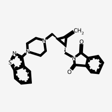 C=C1[C@H](CN2CCN(c3nsc4ccccc34)CC2)[C@H]1CN1C(=O)c2ccccc2C1=O